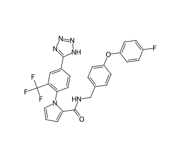 O=C(NCc1ccc(Oc2ccc(F)cc2)cc1)c1cccn1-c1ccc(-c2nnn[nH]2)cc1C(F)(F)F